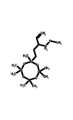 C=CC(CC[Si]1(C)O[Si](C)(C)O[Si](C)(C)O[Si](C)(C)O1)[SiH2]O[SiH3]